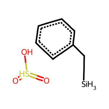 O=[SH](=O)O.[SiH3]Cc1ccccc1